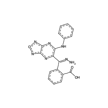 N/N=C(\c1ccccc1C(=O)O)c1nc2nonc2nc1Nc1ccccc1